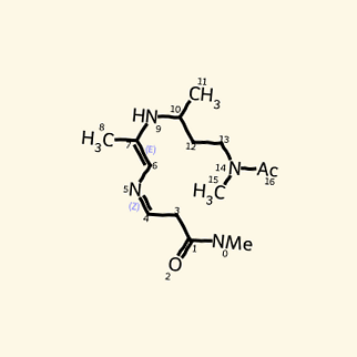 CNC(=O)C/C=N\C=C(/C)NC(C)CCN(C)C(C)=O